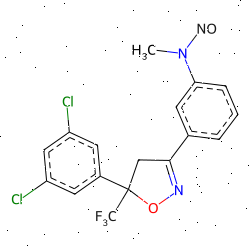 CN(N=O)c1cccc(C2=NOC(c3cc(Cl)cc(Cl)c3)(C(F)(F)F)C2)c1